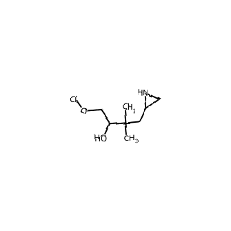 CC(C)(CC1CN1)C(O)COCl